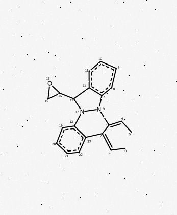 C/C=C1\C(=C/C)N2c3ccccc3C(C3CO3)N2c2ccccc21